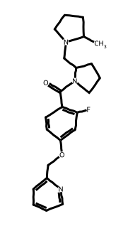 CC1CCCN1CC1CCCN1C(=O)c1ccc(OCc2ccccn2)cc1F